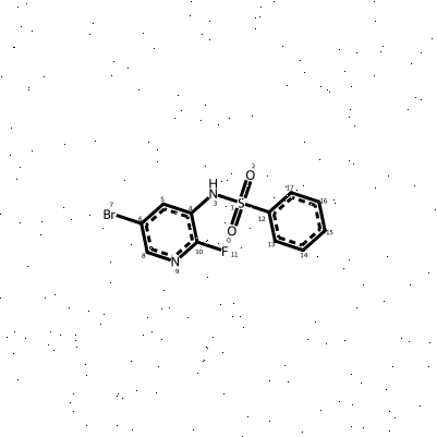 O=S(=O)(Nc1cc(Br)cnc1F)c1ccccc1